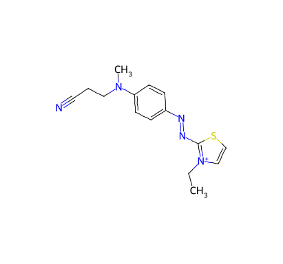 CC[n+]1ccsc1N=Nc1ccc(N(C)CCC#N)cc1